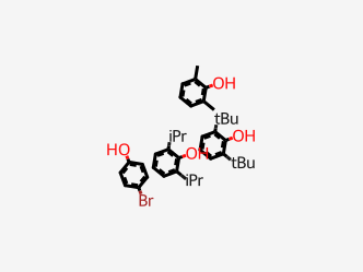 CC(C)(C)c1cccc(C(C)(C)C)c1O.CC(C)c1cccc(C(C)C)c1O.Cc1cccc(C)c1O.Oc1ccc(Br)cc1